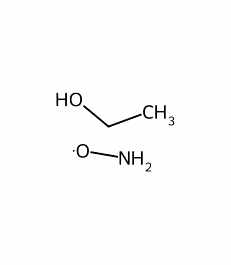 CCO.N[O]